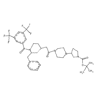 CC(C)(C)OC(=O)N1CCC(N2CCN(C(=O)CC3CCN(C(=O)c4cc(C(F)(F)F)cc(C(F)(F)F)c4)C(Cc4ccccc4)C3)CC2)C1